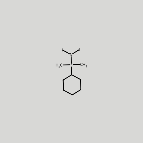 CS(C)(C1CCCCC1)N(I)I